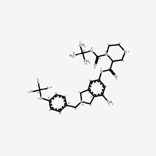 Cc1cc(OC(=O)C2COCCN2C(=O)OC(C)(C)C)cc2c1CN(Cc1ccc(OC(F)(F)F)cc1)C2